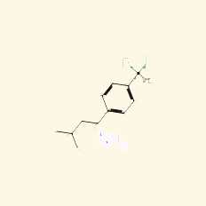 CC(C)C[C@@H](N)c1ccc(C(F)(F)F)cc1